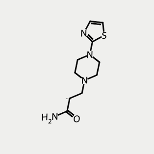 NC(=O)[CH]CN1CCN(c2nccs2)CC1